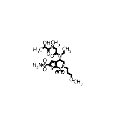 CCN(C(=O)CN(C)C(=O)C(C)O)[C@H]1CN(CCCOC)S(=O)(=O)c2sc(S(N)(=O)=O)cc21